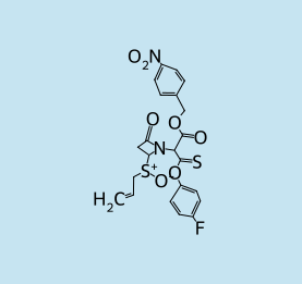 C=CC[S+]([O-])C1CC(=O)N1C(C(=O)OCc1ccc([N+](=O)[O-])cc1)C(=S)Oc1ccc(F)cc1